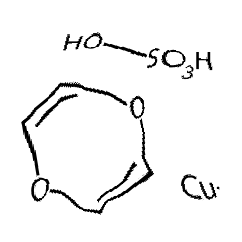 C1=COC=CO1.O=S(=O)(O)O.[Cu]